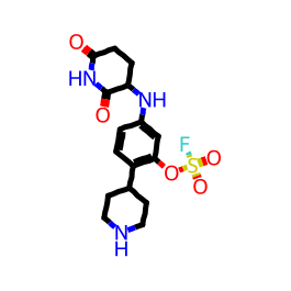 O=C1CCC(Nc2ccc(C3CCNCC3)c(OS(=O)(=O)F)c2)C(=O)N1